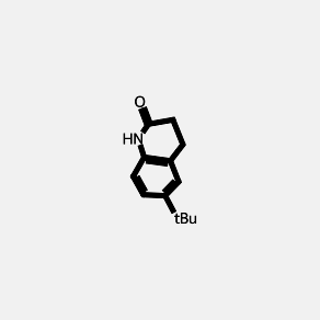 CC(C)(C)c1ccc2c(c1)CCC(=O)N2